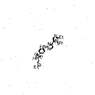 CCOCCNS(=O)(=O)c1ccc(Nc2nccc(-c3cnc(CC)n3C(C)C)n2)cc1